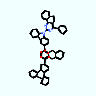 c1ccc(-c2nc(-n3c4ccccc4c4cc(-c5ccc(-c6ccc7c8ccccc8c8ccccc8c7c6)c6c5C5c7ccccc7C6c6ccccc65)ccc43)nc3c2ccc2ccccc23)cc1